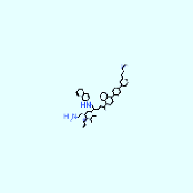 C=C/C=C(\C(C)CC)C(CCN)CCC(CCC(C)C1CCC(C2CCC(C3CCCC(CC/C=C\C)C3)CC2)C2CCCCC12)CNc1ccc2c(c1)C=CCC2